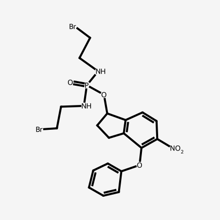 O=[N+]([O-])c1ccc2c(c1Oc1ccccc1)CCC2OP(=O)(NCCBr)NCCBr